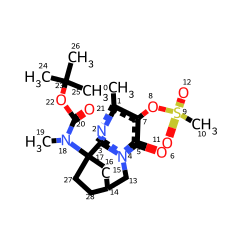 Cc1nc2n(c(=O)c1OS(C)(=O)=O)CC1CCC2(N(C)C(=O)OC(C)(C)C)CC1